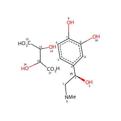 CNC[C@H](O)c1ccc(O)c(O)c1.O=C(O)C(O)C(O)C(=O)O